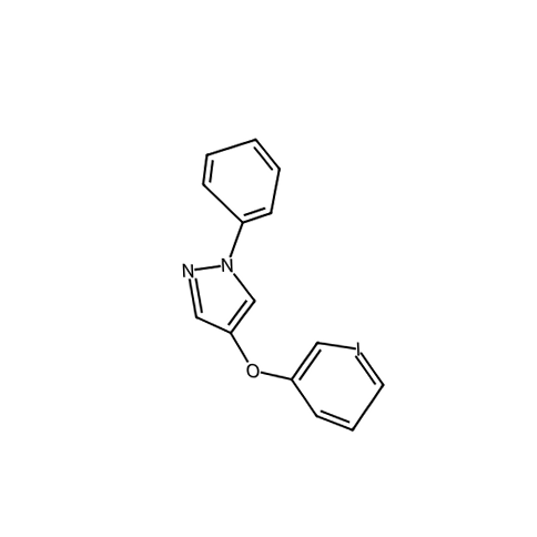 C1=CC(Oc2cnn(-c3ccccc3)c2)=CI=C1